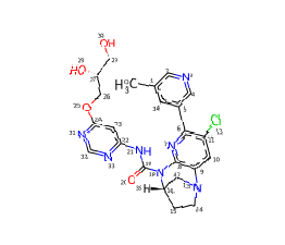 Cc1cncc(-c2nc3c(cc2Cl)N2CC[C@@H](C2)N3C(=O)Nc2cc(OC[C@H](O)CO)ncn2)c1